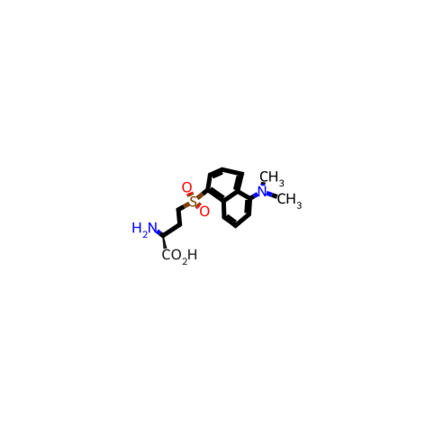 CN(C)c1cccc2c(S(=O)(=O)CC[C@H](N)C(=O)O)cccc12